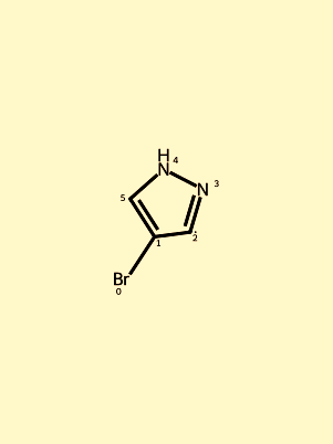 Brc1[c]n[nH]c1